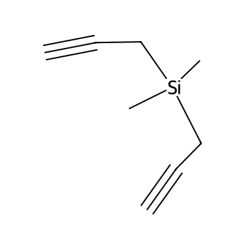 C#CC[Si](C)(C)CC#C